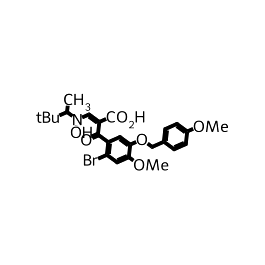 COc1ccc(COc2cc(C(=O)/C(=C\N(O)C(C)C(C)(C)C)C(=O)O)c(Br)cc2OC)cc1